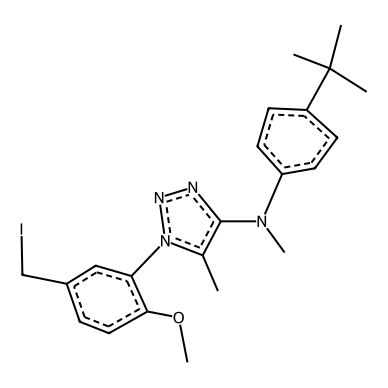 COc1ccc(CI)cc1-n1nnc(N(C)c2ccc(C(C)(C)C)cc2)c1C